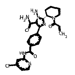 C=CC(=O)N1CCCC[C@H]1c1nc(-c2ccc(C(=O)Nc3cc(Cl)ccn3)cc2)c(C(N)=O)n1N